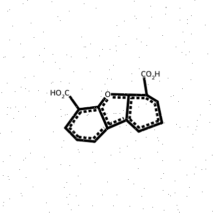 O=C(O)c1cccc2c1oc1c(C(=O)O)cccc12